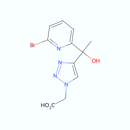 CC(O)(c1cn(CC(=O)O)nn1)c1cccc(Br)n1